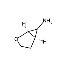 NC1[C@H]2CCO[C@@H]12